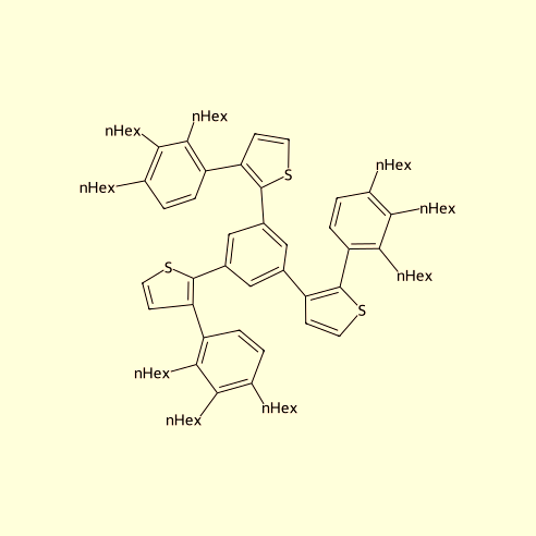 CCCCCCc1ccc(-c2ccsc2-c2cc(-c3ccsc3-c3ccc(CCCCCC)c(CCCCCC)c3CCCCCC)cc(-c3sccc3-c3ccc(CCCCCC)c(CCCCCC)c3CCCCCC)c2)c(CCCCCC)c1CCCCCC